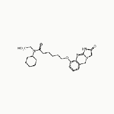 O=C(O)CN(C(=O)CCCCCOc1cccc2c1N=C1NC(=O)CN1C2)C1CCCCC1